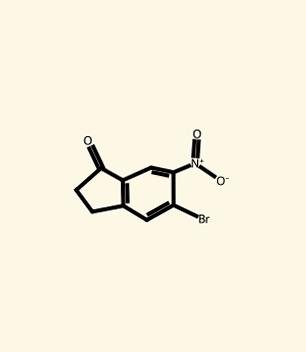 O=C1CCc2cc(Br)c([N+](=O)[O-])cc21